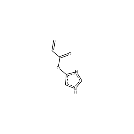 C=CC(=O)Oc1c[nH]cn1